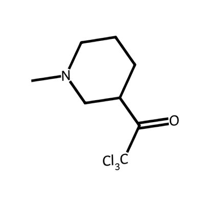 CN1CCCC(C(=O)C(Cl)(Cl)Cl)C1